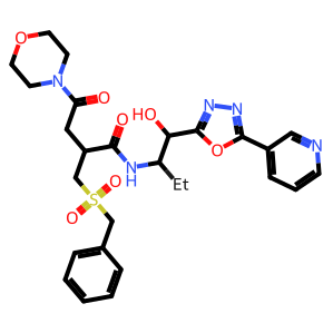 CCC(NC(=O)C(CC(=O)N1CCOCC1)CS(=O)(=O)Cc1ccccc1)C(O)c1nnc(-c2cccnc2)o1